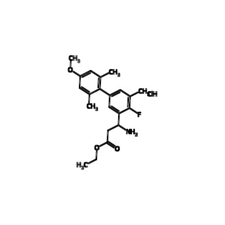 CCOC(=O)CC(N)c1cc(-c2c(C)cc(OC)cc2C)cc(C)c1F.Cl